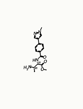 COC(=O)[C@@H](NC(=O)c1ccc(-c2cnn(C)c2)cc1)[C@@H](C)N